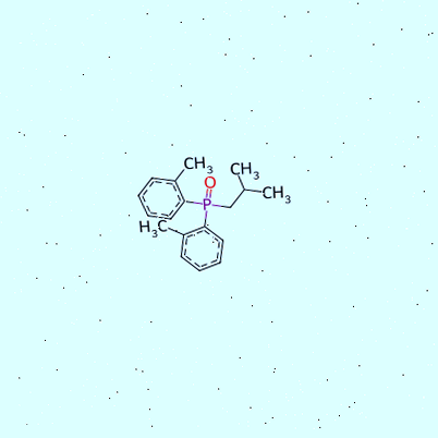 Cc1ccccc1P(=O)(CC(C)C)c1ccccc1C